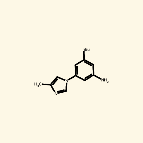 CCCCc1cc(N)cc(-n2cnc(C)c2)c1